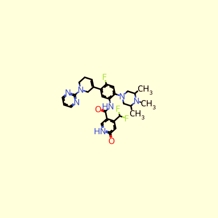 CC1CN(c2cc(F)c(C3=CCCN(c4ncccn4)C3)cc2NC(=O)c2c[nH]c(=O)cc2C(F)F)CC(C)N1C